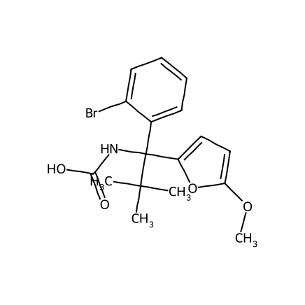 COc1ccc(C(NC(=O)O)(c2ccccc2Br)C(C)(C)C)o1